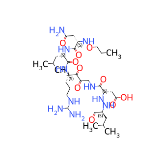 CCCON[C@@H](CC(N)=O)C(=O)N[C@@H](CC(C)C)C(=O)N[C@@H](CCCNC(N)N)C(=O)C(=O)CNC(=O)[C@H](CC(=O)O)NN[C@H](C=O)CC(C)C